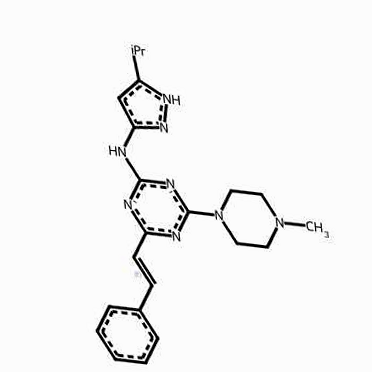 CC(C)c1cc(Nc2nc(/C=C/c3ccccc3)nc(N3CCN(C)CC3)n2)n[nH]1